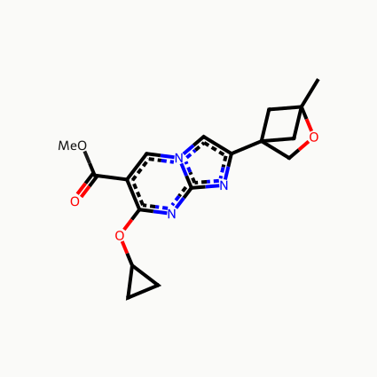 COC(=O)c1cn2cc(C34COC(C)(C3)C4)nc2nc1OC1CC1